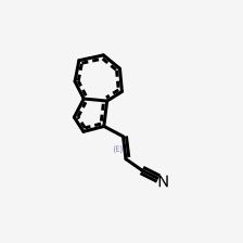 N#C/C=C/c1ccc2cccccc1-2